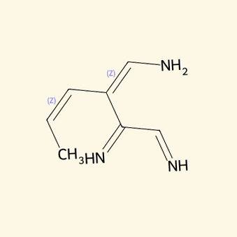 C/C=C\C(=C\N)C(=N)C=N